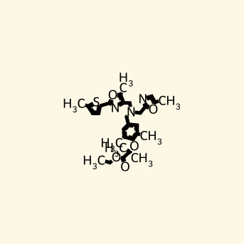 CCOC(=O)C(C)(C)Oc1c(C)cc(CN(Cc2ncc(C)o2)Cc2nc(-c3ccc(C)s3)oc2C)cc1C